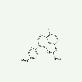 CCC/C=C(/C=C\c1cc(OCC(C)CCC)ccc1C)c1ccc(NC)cc1